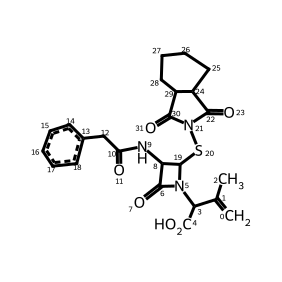 C=C(C)C(C(=O)O)N1C(=O)C(NC(=O)Cc2ccccc2)C1SN1C(=O)C2CCCCC2C1=O